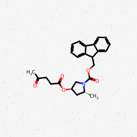 CC(=O)CCC(=O)O[C@@H]1C[C@@H](C)N(C(=O)OCC2c3ccccc3-c3ccccc32)C1